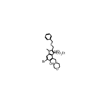 CCOC(=O)c1c(CSCc2ccccc2)n(C)c2cc(Br)c(O)c(CN3CCOCC3)c12.Cl